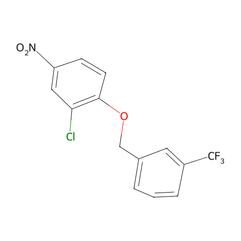 O=[N+]([O-])c1ccc(OCc2cccc(C(F)(F)F)c2)c(Cl)c1